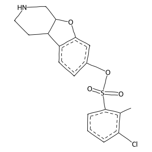 Cc1c(Cl)cccc1S(=O)(=O)Oc1ccc2c(c1)OC1CNCCC21